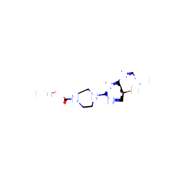 CC(C)(C)OC(=O)N1CCN(c2ncc(Br)c(/N=C\N)n2)CC1